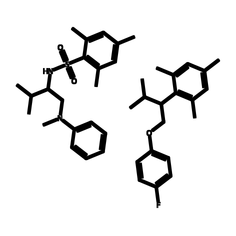 Cc1cc(C)c(C(COc2ccc(F)cc2)C(C)C)c(C)c1.Cc1cc(C)c(S(=O)(=O)NC(CN(C)c2ccccc2)C(C)C)c(C)c1